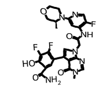 C[C@H]1COCCN1c1cc(NC(=O)Cn2cc(-c3cc(C(N)=O)c(O)c(F)c3F)c3c(=O)n(C)cnc32)c(F)cn1